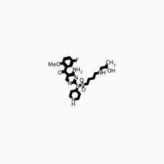 COc1ccc(F)cc1C(=O)c1cnc(N(C2CCNCC2)S(=O)(=O)CCCCNCC(C)O)nc1N